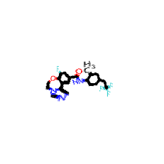 CC1CC(CC(F)(F)F)CCC1NC(=O)c1cc(F)c2c(c1)-c1cncn1CCO2